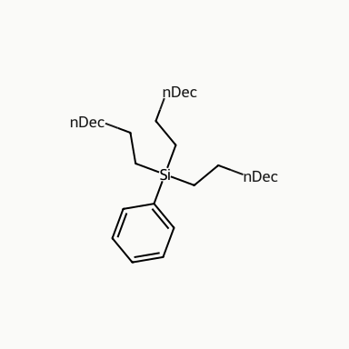 CCCCCCCCCCCC[Si](CCCCCCCCCCCC)(CCCCCCCCCCCC)c1ccccc1